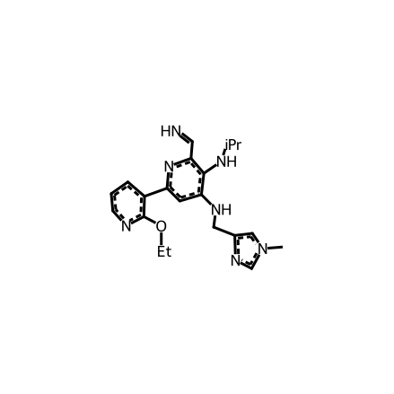 CCOc1ncccc1-c1cc(NCc2cn(C)cn2)c(NC(C)C)c(C=N)n1